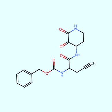 C#CCC(NC(=O)OCc1ccccc1)C(=O)NC1CCNC(=O)C1=O